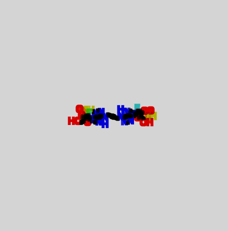 O=[PH](S)OC1[C@@H](F)[C@H](n2cnc3c(NCC#CCNc4ncnc5c4ncn5C4OC(CO)[C@@H](O[PH](=O)S)[C@H]4F)ncnc32)O[C@@H]1CO